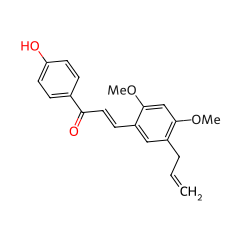 C=CCc1cc(C=CC(=O)c2ccc(O)cc2)c(OC)cc1OC